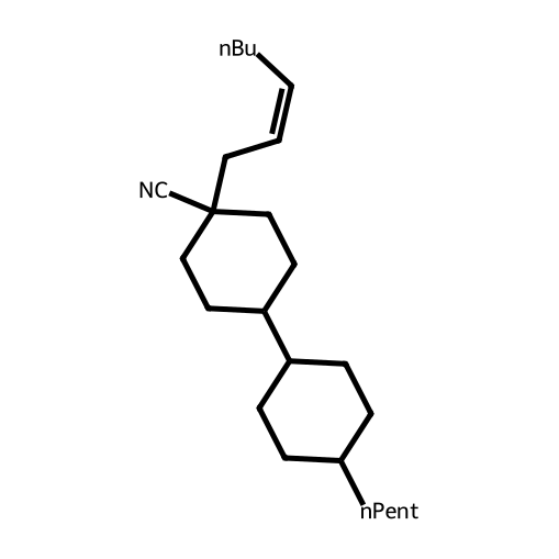 CCCC/C=C\CC1(C#N)CCC(C2CCC(CCCCC)CC2)CC1